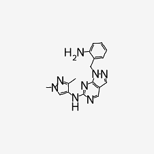 Cc1nn(C)cc1Nc1ncc2cnn(Cc3ccccc3N)c2n1